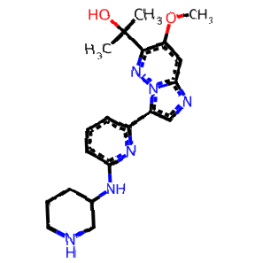 COc1cc2ncc(-c3cccc(NC4CCCNC4)n3)n2nc1C(C)(C)O